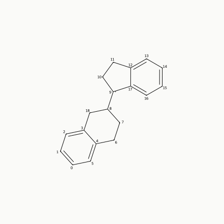 c1ccc2c(c1)CCC([C]1CCc3ccccc31)C2